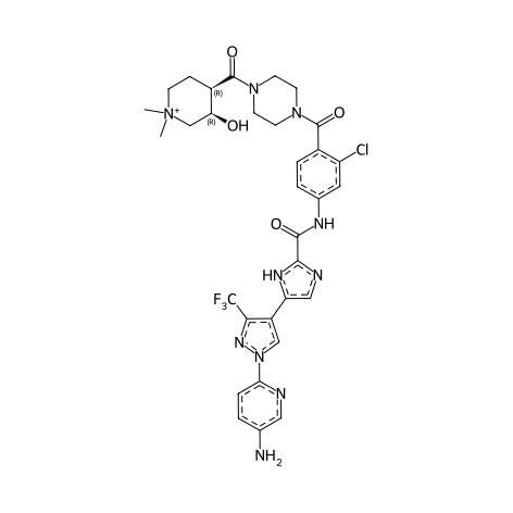 C[N+]1(C)CC[C@@H](C(=O)N2CCN(C(=O)c3ccc(NC(=O)c4ncc(-c5cn(-c6ccc(N)cn6)nc5C(F)(F)F)[nH]4)cc3Cl)CC2)[C@@H](O)C1